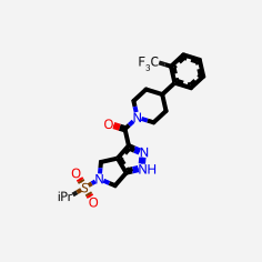 CC(C)S(=O)(=O)N1Cc2[nH]nc(C(=O)N3CCC(c4ccccc4C(F)(F)F)CC3)c2C1